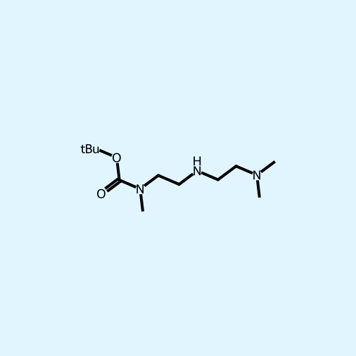 CN(C)CCNCCN(C)C(=O)OC(C)(C)C